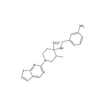 CC1CN(c2ncc3ccsc3n2)CCC1(NCc1cccc([N+](=O)[O-])c1)C(=O)O